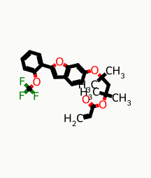 C=CC(=O)OC(C)(C)CC(C)(C)Oc1ccc2cc(-c3ccccc3OC(F)(F)F)oc2c1